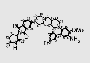 CCn1cc(-c2cc(N)c(OC)cc2N2CCC(CN3CCN(c4ccc5c(c4)C(=O)N(C4CCC(=O)NC4=O)C5=O)CC3)CC2)cn1